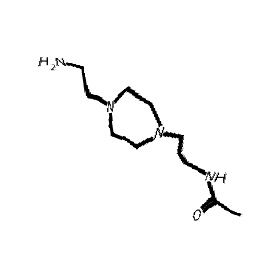 CC(=O)NCCN1CCN(CCN)CC1